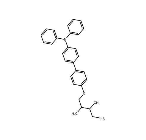 CCC(O)C(C)COc1ccc(-c2ccc(N(c3ccccc3)c3ccccc3)cc2)cc1